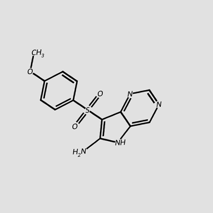 COc1ccc(S(=O)(=O)c2c(N)[nH]c3cncnc23)cc1